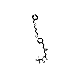 O=C(CCNCCc1ccc(OCCCCOCc2ccccc2)cc1)OC(=O)C(F)(F)F